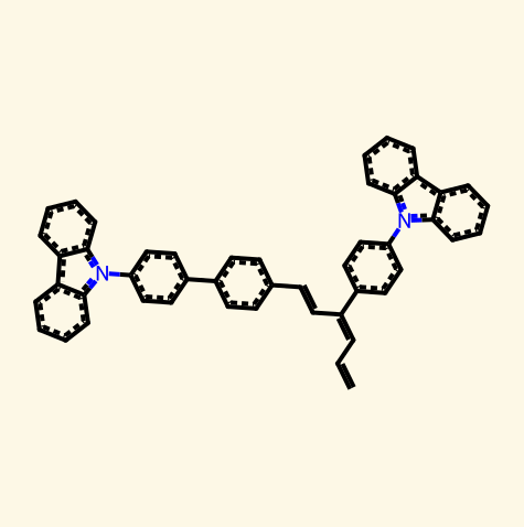 C=C/C=C(\C=Cc1ccc(-c2ccc(-n3c4ccccc4c4ccccc43)cc2)cc1)c1ccc(-n2c3ccccc3c3ccccc32)cc1